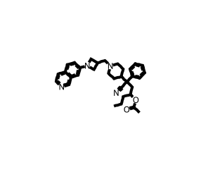 CCCC(CC(C#N)(c1ccccc1)C1CCN(CC2CN(c3ccc4ccncc4c3)C2)CC1)OC(C)=O